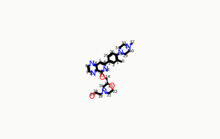 Cc1cc(-c2cc3nccnc3c(OC[C@@H]3CN(CC=O)CCO3)n2)ccc1N1CCN(C)CC1